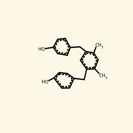 Cc1cc(C)c(Cc2ccc(O)cc2)cc1Cc1ccc(O)cc1